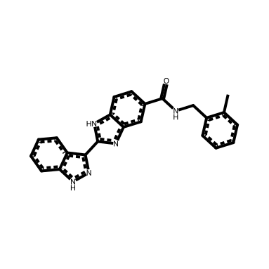 Cc1ccccc1CNC(=O)c1ccc2[nH]c(-c3n[nH]c4ccccc34)nc2c1